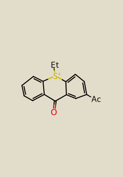 CC[s+]1c2ccccc2c(=O)c2cc(C(C)=O)ccc21